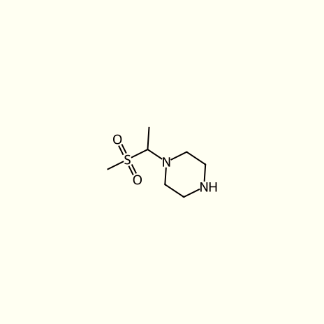 CC(N1CCNCC1)S(C)(=O)=O